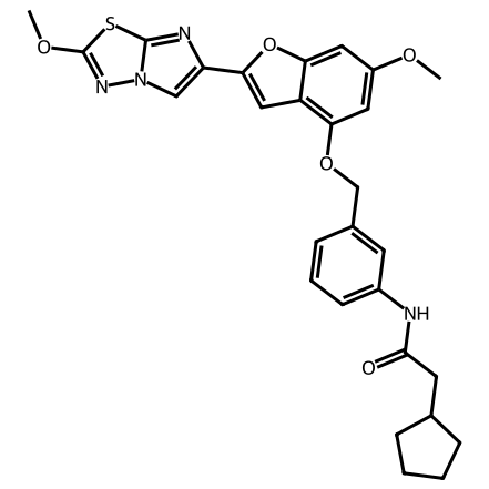 COc1cc(OCc2cccc(NC(=O)CC3CCCC3)c2)c2cc(-c3cn4nc(OC)sc4n3)oc2c1